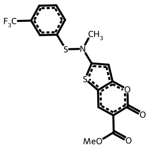 COC(=O)c1cc2sc(N(C)Sc3cccc(C(F)(F)F)c3)cc2oc1=O